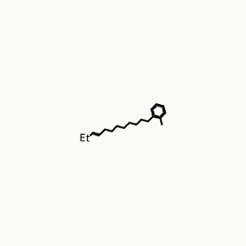 CCC=CCCCCCCCCc1ccccc1C